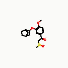 COc1ccc(C(=O)C[S+](C)[O-])cc1OC1CC2CCC1C2